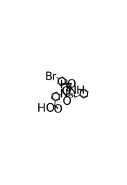 O=C(O)c1cccc(NC(=O)[C@H](Cc2ccccc2)NS(=O)(=O)c2ccc(Br)cc2)c1